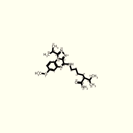 COc1ccc2c(c1)nc(NCCCCC(C(N)=O)C(C)C)c1nnc(C(C)C)n12